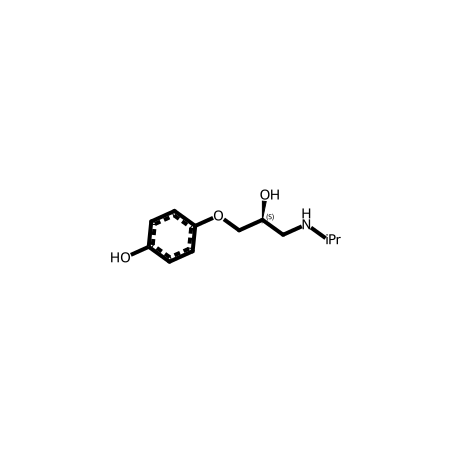 CC(C)NC[C@H](O)COc1ccc(O)cc1